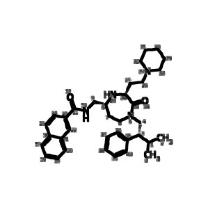 CC(C)[C@@H](CN1CC[C@@H](CNC(=O)c2ccc3ccccc3c2)N[C@@H](CCN2CCCCC2)C1=O)c1ccccc1